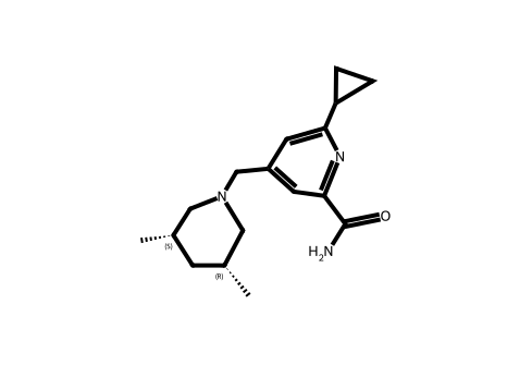 C[C@@H]1C[C@H](C)CN(Cc2cc(C(N)=O)nc(C3CC3)c2)C1